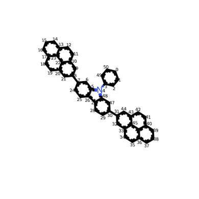 c1ccc(-n2c3cc(-c4cc5ccc6cccc7ccc(c4)c5c67)ccc3c3ccc(-c4cc5ccc6cccc7ccc(c4)c5c67)cc32)cc1